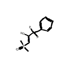 CP(C)(=O)/C=C(\O)C(F)(F)c1ccccc1